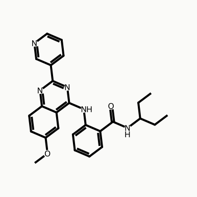 CCC(CC)NC(=O)c1ccccc1Nc1nc(-c2cccnc2)nc2ccc(OC)cc12